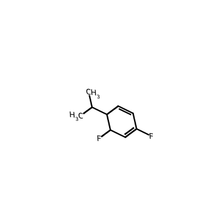 CC(C)C1C=CC(F)=CC1F